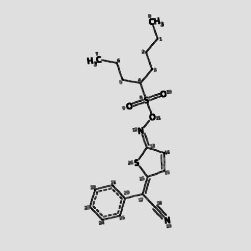 CCCCC(CCC)S(=O)(=O)O/N=C1C=C/C(=C(\C#N)c2ccccc2)S\1